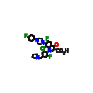 O=C(O)c1cn(-c2ccc(CN3CCCC3)cc2F)c2c(Cl)c(N3CCN(c4ccc(F)cc4)CC3)c(F)cc2c1=O